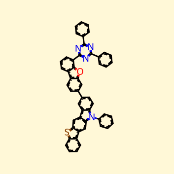 c1ccc(-c2nc(-c3ccccc3)nc(-c3cccc4c3oc3cc(-c5ccc6c(c5)c5cc7sc8ccccc8c7cc5n6-c5ccccc5)ccc34)n2)cc1